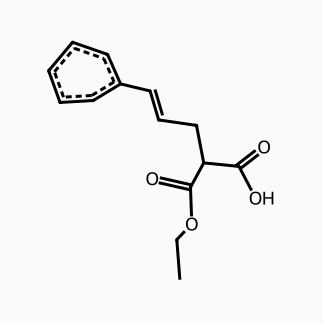 CCOC(=O)C(CC=Cc1ccccc1)C(=O)O